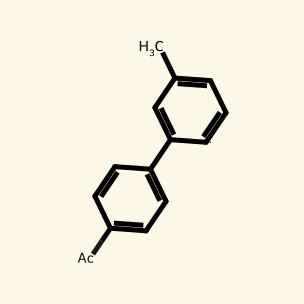 CC(=O)c1ccc(-c2[c]ccc(C)c2)cc1